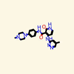 Cc1cnnc(Nc2cc[nH]c(=O)c2C(=O)Nc2ccc(N3CCN(C)CC3)cc2)c1